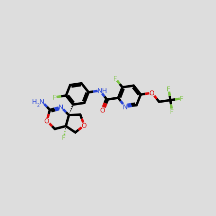 NC1=N[C@@]2(c3cc(NC(=O)c4ncc(OCC(F)(F)F)cc4F)ccc3F)COC[C@@]2(F)CO1